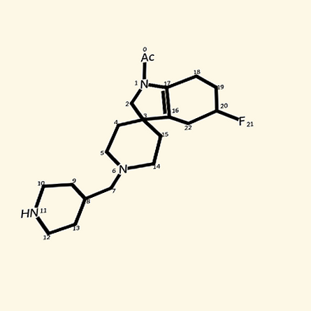 CC(=O)N1CC2(CCN(CC3CCNCC3)CC2)C2=C1CCC(F)C2